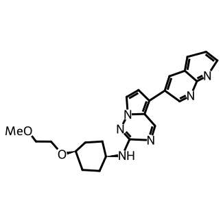 COCCO[C@H]1CC[C@@H](Nc2ncc3c(-c4cnc5ncccc5c4)ccn3n2)CC1